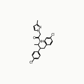 Cc1ccn(CC(=O)NC(C)C(Cc2ccc(Cl)cc2)c2ccc(Cl)cc2)n1